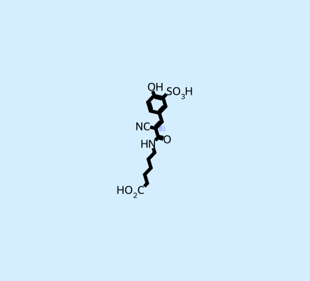 N#C/C(=C\c1ccc(O)c(S(=O)(=O)O)c1)C(=O)NCCCCCC(=O)O